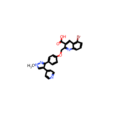 Cn1cc(-c2ccncc2)c(-c2ccc(OCc3nc4cccc(Br)c4cc3C(=O)O)cc2)n1